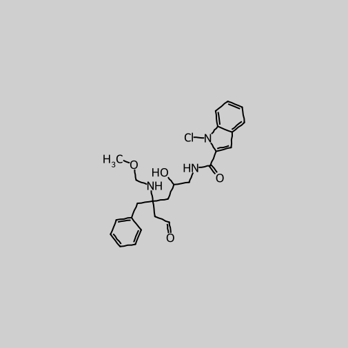 COCNC(CC=O)(Cc1ccccc1)CC(O)CNC(=O)c1cc2ccccc2n1Cl